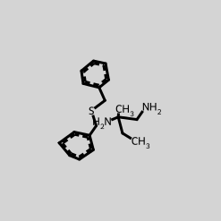 CCC(C)(N)CN.c1ccc(CSCc2ccccc2)cc1